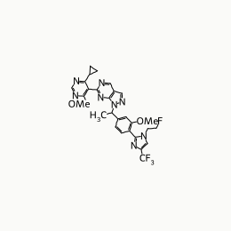 COc1cc(C(C)n2ncc3cnc(-c4c(OC)ncnc4C4CC4)nc32)ccc1-c1nc(C(F)(F)F)cn1CCF